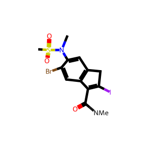 CNC(=O)C1=C(I)Cc2cc(N(C)S(C)(=O)=O)c(Br)cc21